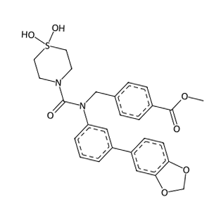 COC(=O)c1ccc(CN(C(=O)N2CCS(O)(O)CC2)c2cccc(-c3ccc4c(c3)OCO4)c2)cc1